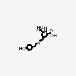 O=C(O)C1=C/C(=C/C=N/CCc2ccc(O)cc2)CC(C(=O)O)N1